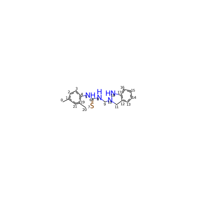 Cc1ccc(NC(=S)NCN2Cc3ccccc3N2)c(C)c1